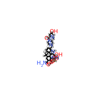 COc1c(C(N)=O)cc(C(C)(C)C)c(-c2c(C(=O)O)n(C)c3c(CN4CCN(C(=O)[C@H]5C[C@H](O)CN5C)CC4)cccc23)c1NS(C)(=O)=O